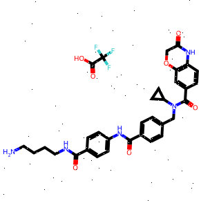 NCCCCNC(=O)c1ccc(NC(=O)c2ccc(CN(C(=O)c3ccc4c(c3)OCC(=O)N4)C3CC3)cc2)cc1.O=C(O)C(F)(F)F